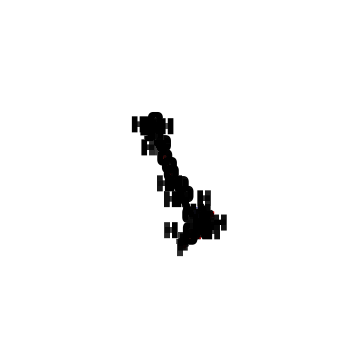 Cc1cc(Nc2cc(Nc3cccc(NC(=O)/C=C/CN(C)CCCCNC(=O)CCCC(=O)NCCCOCCOCCOCCCNC(=O)CCCC[C@@H]4SC[C@@H]5NC(=O)N[C@@H]54)c3)ncn2)ccc1OCc1cccc(F)c1